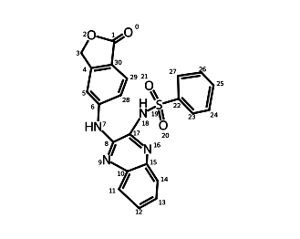 O=C1OCc2cc(Nc3nc4ccccc4nc3NS(=O)(=O)c3ccccc3)ccc21